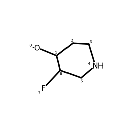 [O]C1CCNCC1F